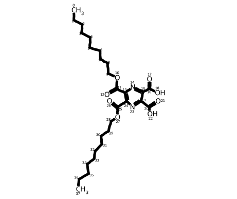 CCCCCCCCCCOC(=O)c1nc(C(=O)O)c(C(=O)O)nc1C(=O)OCCCCCCCCCC